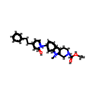 Cn1c2c(c3ccc(-n4ccc(CCc5ccccc5)cc4=O)cc31)CCN(C(=O)OC(C)(C)C)C2